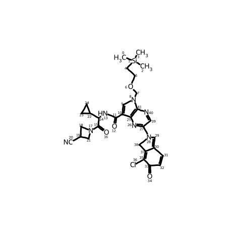 C[Si](C)(C)CCOCn1cc(C(=O)N[C@@H](C(=O)N2CC(C#N)C2)C2CC2)c2nc(N3C=C4C=CC(=O)C(Cl)=C4C3)cnc21